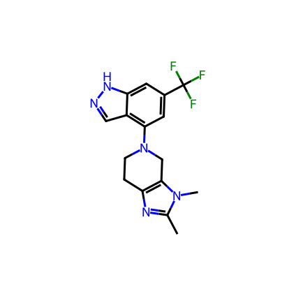 Cc1nc2c(n1C)CN(c1cc(C(F)(F)F)cc3[nH]ncc13)CC2